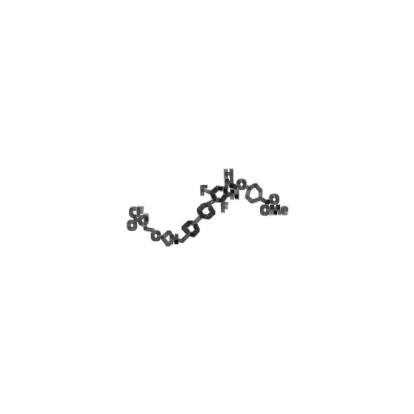 COC(=O)C1CCC(Oc2nc3c(F)c(-c4ccc(-c5ccc(CN6CC(OCCOC(=O)C(F)(F)F)C6)cc5)cc4)c(F)cc3[nH]2)CC1